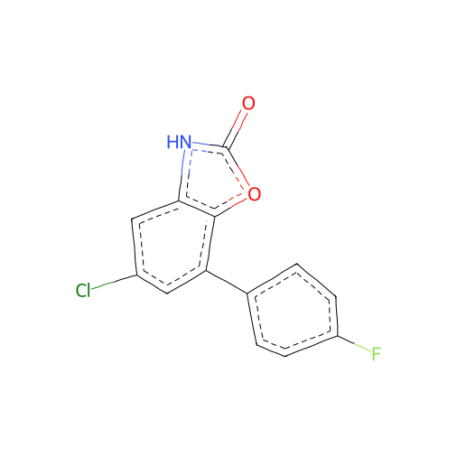 O=c1[nH]c2cc(Cl)cc(-c3ccc(F)cc3)c2o1